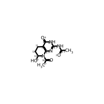 CC(=O)Nc1nc2c(c(=O)[nH]1)CCC(O)N2C(C)=O